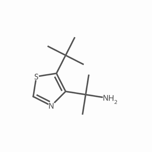 CC(C)(C)c1scnc1C(C)(C)N